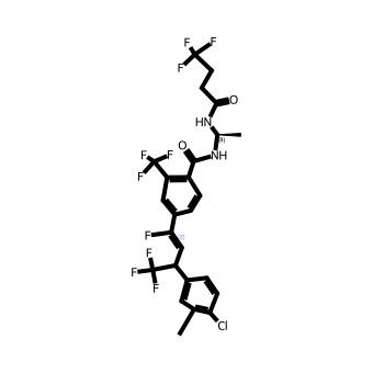 Cc1cc(C(/C=C(\F)c2ccc(C(=O)N[C@H](C)NC(=O)CCC(F)(F)F)c(C(F)(F)F)c2)C(F)(F)F)ccc1Cl